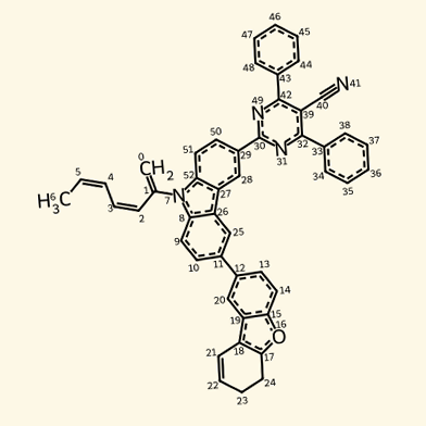 C=C(/C=C\C=C/C)n1c2ccc(-c3ccc4oc5c(c4c3)C=CCC5)cc2c2cc(-c3nc(-c4ccccc4)c(C#N)c(-c4ccccc4)n3)ccc21